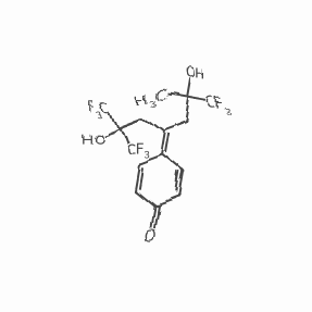 CC(O)(CC(CC(O)(C(F)(F)F)C(F)(F)F)=C1C=CC(=O)C=C1)C(F)(F)F